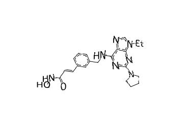 CCn1cnc2c(NCc3cccc(/C=C/C(=O)NO)c3)nc(N3CCCC3)nc21